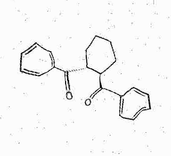 O=C(c1ccccc1)[C@@H]1CCCC[C@H]1C(=O)c1ccccc1